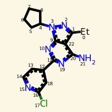 CCc1nn(C2CCCC2)c2nc(-c3ccnc(Cl)c3)nc(N)c12